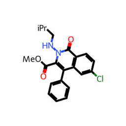 COC(=O)c1c(-c2ccccc2)c2cc(Cl)ccc2c(=O)n1NCC(C)C